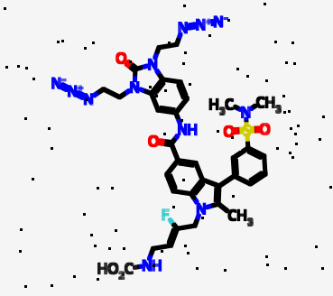 Cc1c(-c2cccc(S(=O)(=O)N(C)C)c2)c2cc(C(=O)Nc3ccc4c(c3)n(CCN=[N+]=[N-])c(=O)n4CCN=[N+]=[N-])ccc2n1CC(F)=CCNC(=O)O